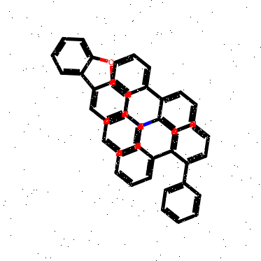 c1ccc(-c2ccccc2-c2ccccc2N(c2ccc3c(c2)oc2ccccc23)c2ccccc2-c2ccccc2-c2ccccc2)cc1